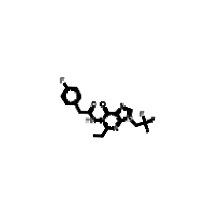 CCc1nc2c(ncn2CC(F)(F)F)c(=O)n1NC(=O)Cc1ccc(F)cc1